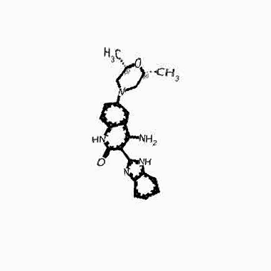 C[C@@H]1CN(c2ccc3[nH]c(=O)c(-c4nc5ccccc5[nH]4)c(N)c3c2)C[C@H](C)O1